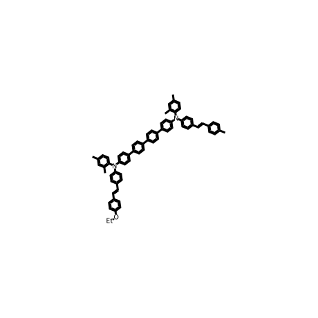 CCOc1ccc(/C=C/c2ccc(N(c3ccc(-c4ccc(-c5ccc(-c6ccc(N(c7ccc(/C=C/c8ccc(C)cc8)cc7)c7ccc(C)cc7C)cc6)cc5)cc4)cc3)c3ccc(C)cc3C)cc2)cc1